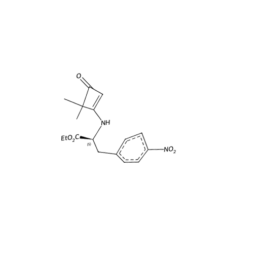 CCOC(=O)[C@H](Cc1ccc([N+](=O)[O-])cc1)NC1=CC(=O)C1(C)C